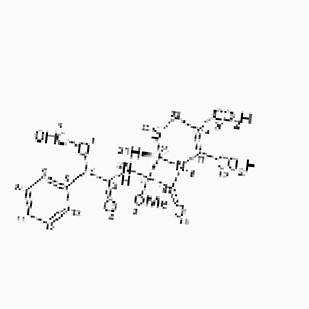 COC1(NC(=O)C(OC=O)c2ccccc2)C(=O)N2C(C(=O)O)=C(C(=O)O)CS[C@H]21